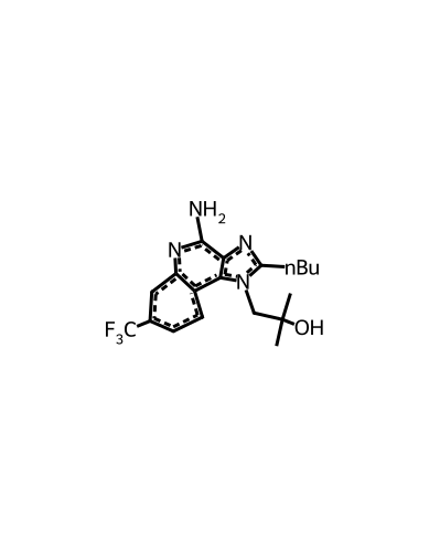 CCCCc1nc2c(N)nc3cc(C(F)(F)F)ccc3c2n1CC(C)(C)O